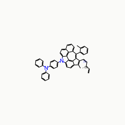 C=C[C@H](C)/C=C\c1c2c(-c3ccccc3C)c3cccc4ccc5c(c6c-2c(ccc6n5-c2ccc(N(c5ccccc5)c5ccccc5)cc2)c1C)c43